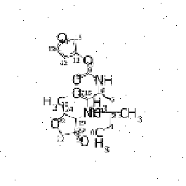 CCC(C)(C)C[C@H](NC(=O)Oc1ccoc1)C(=O)N[C@@H]1C(=O)CO[C@H]1C